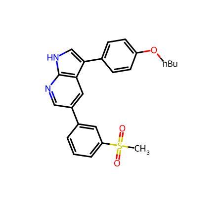 CCCCOc1ccc(-c2c[nH]c3ncc(-c4cccc(S(C)(=O)=O)c4)cc23)cc1